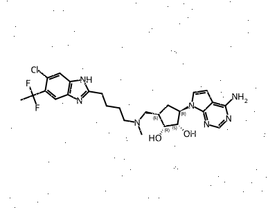 CN(CCCCc1nc2cc(C(C)(F)F)c(Cl)cc2[nH]1)C[C@H]1C[C@@H](n2ccc3c(N)ncnc32)[C@H](O)[C@@H]1O